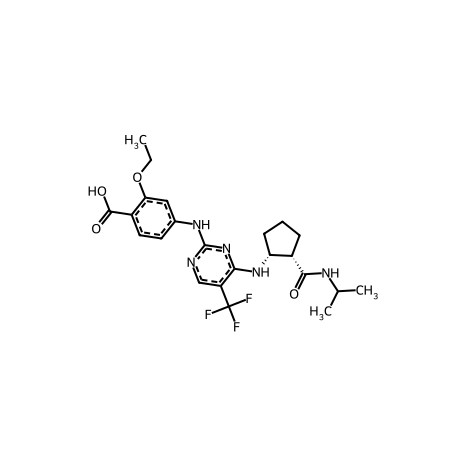 CCOc1cc(Nc2ncc(C(F)(F)F)c(N[C@@H]3CCC[C@@H]3C(=O)NC(C)C)n2)ccc1C(=O)O